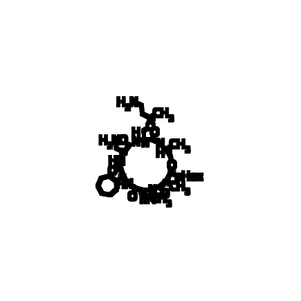 CCCCCC[C@H]1OC[C@@H](C)NC(=O)[C@H](CO[C@H](C)CCN)NC(=O)[C@H](CN)NC(=O)[C@H](C2CCCCCC2)NC(=O)[C@H](CCC)N(C)C(=O)[C@@H]1C